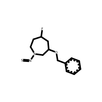 FC1CCN(N=S)CC(OCc2ccccc2)C1